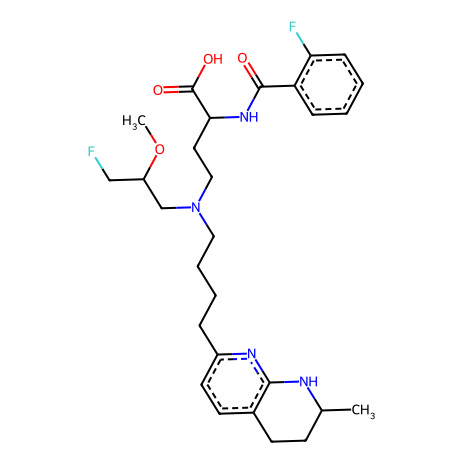 COC(CF)CN(CCCCc1ccc2c(n1)NC(C)CC2)CCC(NC(=O)c1ccccc1F)C(=O)O